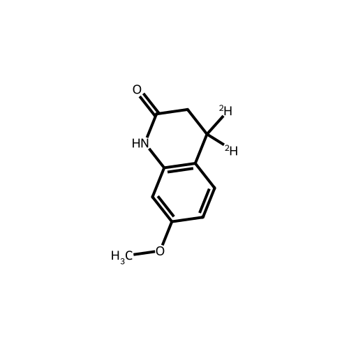 [2H]C1([2H])CC(=O)Nc2cc(OC)ccc21